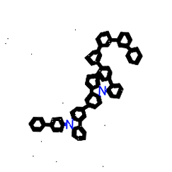 c1ccc(-c2ccc(-n3c4ccccc4c4cc(-c5ccc6c(c5)c5ccccc5n6-c5ccccc5-c5ccc(-c6cccc(-c7cccc(-c8cccc(-c9ccccc9)c8)c7)c6)cc5)ccc43)cc2)cc1